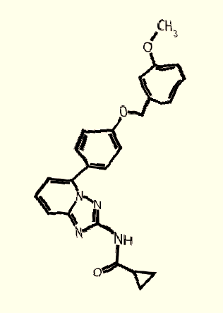 COc1cccc(COc2ccc(-c3cccc4nc(NC(=O)C5CC5)nn34)cc2)c1